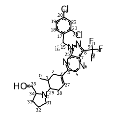 CC1CC(c2cnc3c(C(F)(F)F)nn([C@H](C)c4ccc(Cl)cc4Cl)c3n2)=CCC1N1CCCC1CO